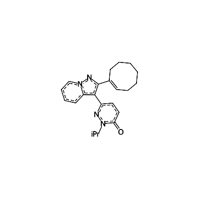 CC(C)n1nc(-c2c(/C3=C/CCCCCC3)nn3ccccc23)ccc1=O